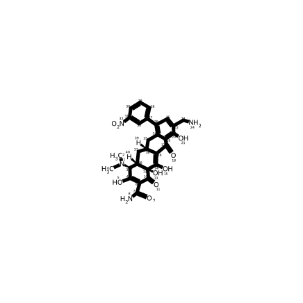 CN(C)[C@@H]1C(O)=C(C(N)=O)C(=O)[C@@]2(O)C(O)=C3C(=O)c4c(O)c(CN)cc(-c5cccc([N+](=O)[O-])c5)c4C[C@H]3C[C@@H]12